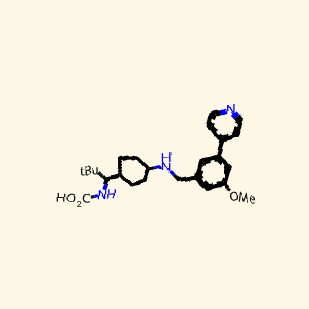 COc1cc(CNC2CCC(C(NC(=O)O)C(C)(C)C)CC2)cc(-c2ccncc2)c1